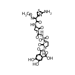 CON=C(C(=O)N[C@H]1CN(C(=O)NS(=O)(=O)N2CCN(NC(=O)c3cc(O)c(O)cc3C(=O)O)C2=O)C1=O)c1csc(N)n1